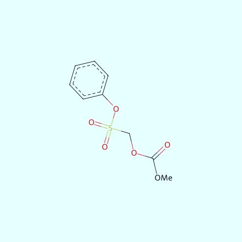 COC(=O)OCS(=O)(=O)Oc1ccccc1